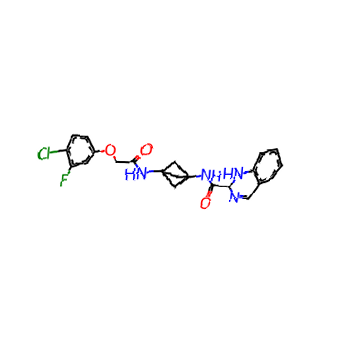 O=C(COc1ccc(Cl)c(F)c1)NC12CC(NC(=O)C3N=Cc4ccccc4N3)(C1)C2